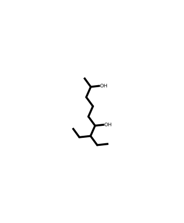 CCC(CC)C(O)CCCC(C)O